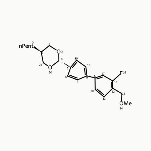 CCCCC[C@H]1CO[C@H](c2ccc(-c3ccc(COC)c(F)c3)cc2)OC1